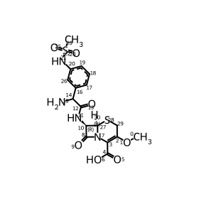 COC1=C(C(=O)O)N2C(=O)[C@@H](NC(=O)C(N)c3cccc(NS(C)(=O)=O)c3)[C@H]2SC1